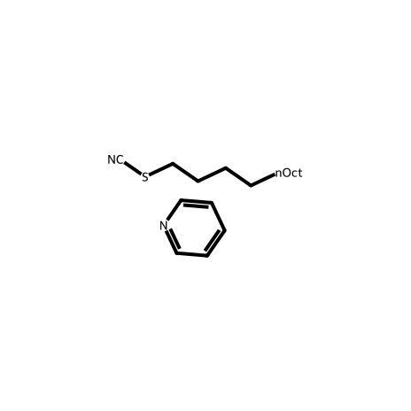 CCCCCCCCCCCCSC#N.c1ccncc1